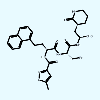 Cc1cc(C(=O)N[C@@H](CCc2cccc3ccccc23)C(=O)N[C@@H](CC(C)C)C(=O)N[C@H](C=O)C[C@@H]2CCCNC2=O)no1